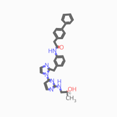 C[C@H](O)CNc1nccc(-n2ccnc2Cc2cccc(NC(=O)Cc3ccc(-c4ccccc4)cc3)c2)n1